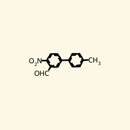 Cc1ccc(-c2ccc([N+](=O)[O-])c(C=O)c2)cc1